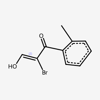 Cc1ccccc1C(=O)/C(Br)=C/O